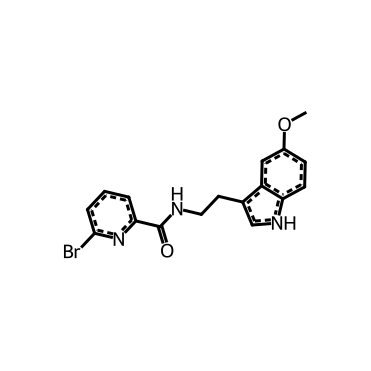 COc1ccc2[nH]cc(CCNC(=O)c3cccc(Br)n3)c2c1